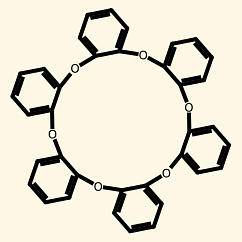 c1ccc2c(c1)Oc1ccccc1Oc1ccccc1Oc1ccccc1Oc1ccccc1Oc1ccccc1O2